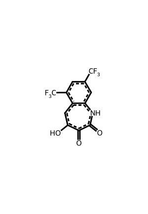 O=c1[nH]c2cc(C(F)(F)F)cc(C(F)(F)F)c2cc(O)c1=O